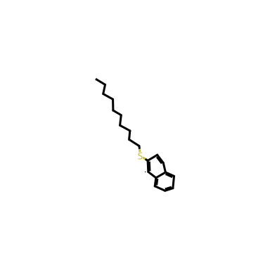 CCCCCCCCCCSc1[c]c2ccccc2cc1